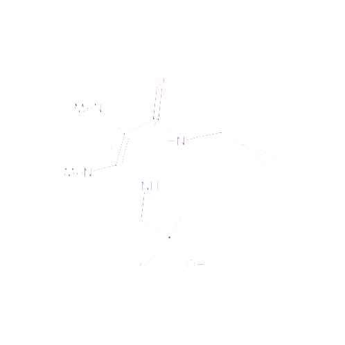 C#CCNC(=O)/C(NC)=C(/NC)NCC(C)(C)O